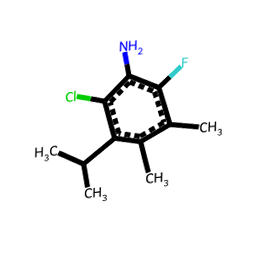 Cc1c(C)c(C(C)C)c(Cl)c(N)c1F